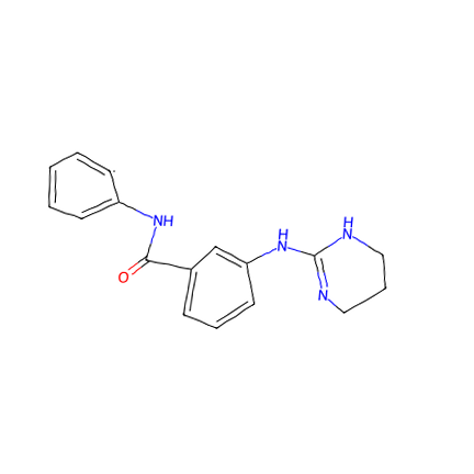 O=C(Nc1[c]cccc1)c1cccc(NC2=NCCCN2)c1